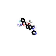 CC[C@]12Cc3cnn(-c4cccnc4)c3C=C1CC[C@@]2(O)CCc1cccc(F)c1C(N)=O